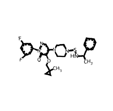 CC(NSN1CCN(c2cnn(-c3cc(F)cc(F)c3)c(=O)c2OCC2(C)CC2)CC1)c1ccccc1